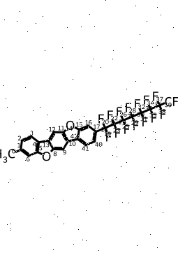 Cc1ccc2c(c1)oc1cc3c(cc12)oc1cc(C(F)(F)C(F)(F)C(F)(F)C(F)(F)C(F)(F)C(F)(F)C(F)(F)C(F)(F)F)ccc13